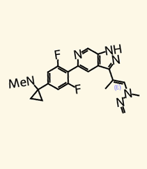 C=NN(C)/C=C(\C)c1n[nH]c2cnc(-c3c(F)cc(C4(NC)CC4)cc3F)cc12